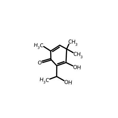 CC1=CC(C)(C)C(O)=C(C(C)O)C1=O